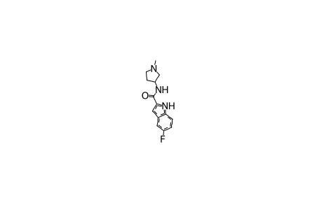 CN1CCC(NC(=O)c2cc3cc(F)ccc3[nH]2)C1